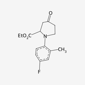 CCOC(=O)C1CC(=O)CCN1c1ccc(F)cc1C